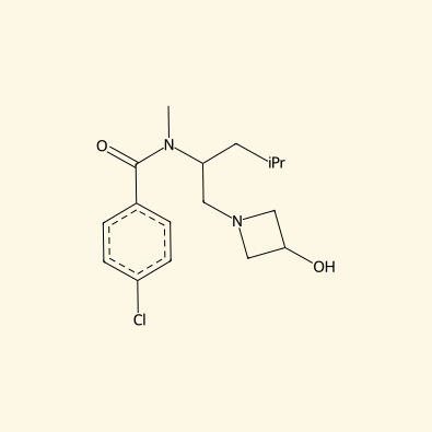 CC(C)CC(CN1CC(O)C1)N(C)C(=O)c1ccc(Cl)cc1